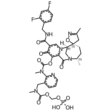 CC1=NO[C@@]2(CC[C@H](C)N3C[C@H]2n2cc(C(=O)NCc4ccc(F)cc4F)c(=O)c(OC(=O)N(C)c4ncccc4CN(C)C(=O)OCOP(=O)(O)O)c2C3=O)C1